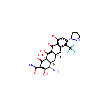 NC(=O)C1=C(O)[C@@H](N)[C@@H]2C[C@@H]3Cc4c(c(O)cc([C@@H]5CCCN5)c4C(F)(F)F)C(=O)C3=C(O)[C@]2(O)C1=O